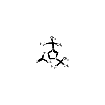 CC(=O)[O-].CC(C)(C)N1C=[N+](C(C)(C)C)CC1